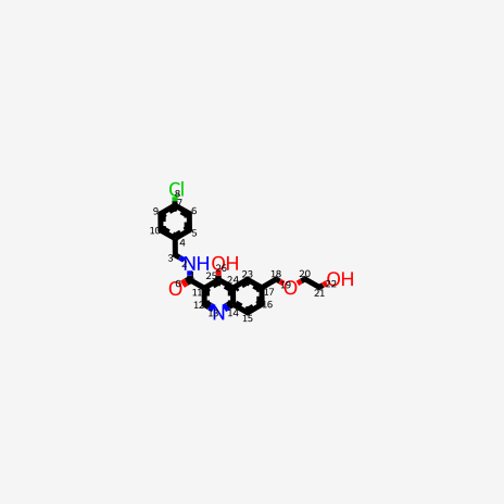 O=C(NCc1ccc(Cl)cc1)c1cnc2ccc(COCCO)cc2c1O